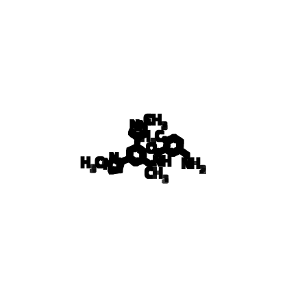 Cc1ccc(CN)cc1C(=O)N[C@H](C)c1cc(-c2cnn(C)c2)cc(-c2ccn(C)n2)c1